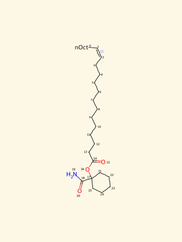 CCCCCCCC/C=C\CCCCCCCCCCCC(=O)OC1(C(N)=O)CCCCC1